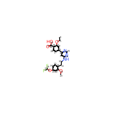 CCOc1cc(-c2cc(NCCc3ccc(OC(F)F)cc3OC)ncn2)ccc1C(=O)O